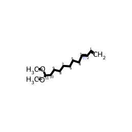 C=C/C=C/CCCCCCCC(OC)OC